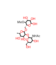 CO[C@H]1[C@H](O)[C@@H](O)[C@@H](O)O[C@@H]1CO[C@@H]1O[C@H](C)[C@@H](O)[C@H](O)[C@@H]1O[C@@H]1O[C@H](CO)C[C@H](O)[C@@H]1NC(C)=O